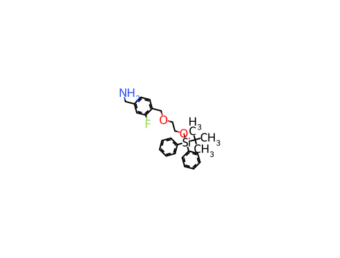 CC(C)(C)[Si](OCCOCc1ccc(CN)cc1F)(c1ccccc1)c1ccccc1